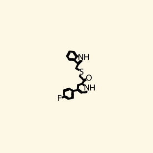 O=C(CSCc1c[nH]c2ccccc12)C1CC(c2ccc(F)cc2)=CCN1